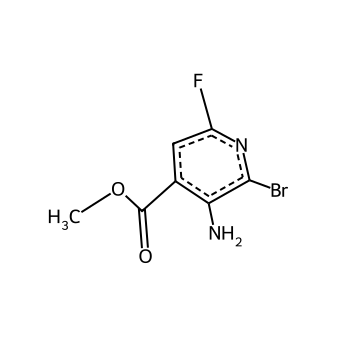 COC(=O)c1cc(F)nc(Br)c1N